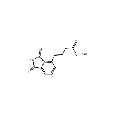 O=C(CCCc1cccc2c1C(=O)NC2=O)OO